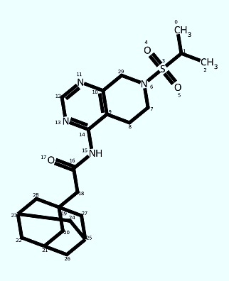 CC(C)S(=O)(=O)N1CCc2c(ncnc2NC(=O)CC23CC4CC(CC(C4)C2)C3)C1